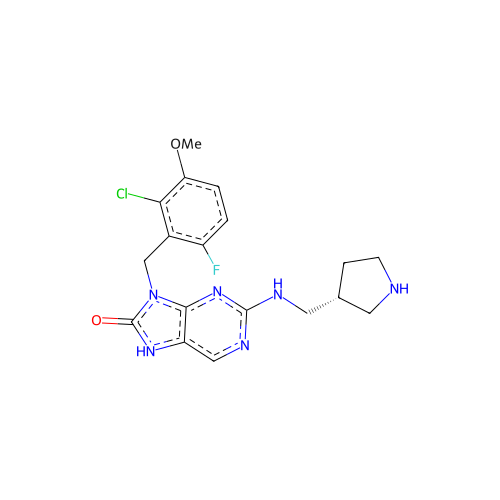 COc1ccc(F)c(Cn2c(=O)[nH]c3cnc(NC[C@@H]4CCNC4)nc32)c1Cl